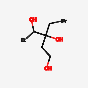 CCC(O)C(O)(CCO)CC(C)C